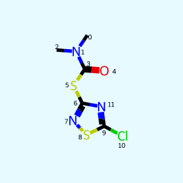 CN(C)C(=O)Sc1nsc(Cl)n1